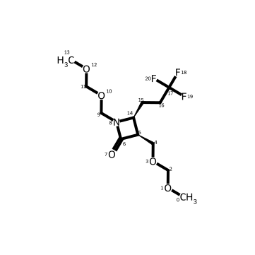 COCOC[C@H]1C(=O)N(COCOC)[C@H]1CCC(F)(F)F